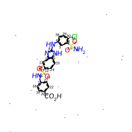 NS(=O)(=O)c1cc(Nc2nc3cc(S(=O)(=O)Nc4ccc(C(=O)O)cc4)ccc3[nH]2)ccc1Cl